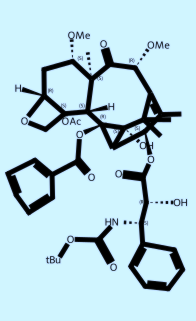 CO[C@H]1C(=O)[C@]2(C)[C@@H](OC)C[C@H]3OC[C@@]3(OC(C)=O)[C@H]2[C@@]2(OC(=O)c3ccccc3)C3[C@H](OC(=O)[C@H](O)[C@@H](NC(=O)OC(C)(C)C)c4ccccc4)C(C)=C1C(C)(C)[C@@]32O